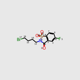 O=C1c2cc(F)ccc2S(=O)(=O)N1CCCCBr